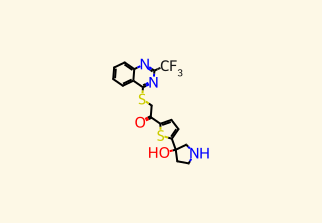 O=C(CSc1nc(C(F)(F)F)nc2ccccc12)c1ccc(C2(O)CCNC2)s1